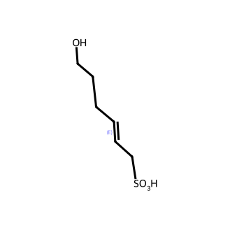 O=S(=O)(O)C/C=C/CCCO